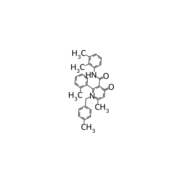 Cc1ccc(Cn2c(C)cc(=O)c(C(=O)Nc3cccc(C)c3C)c2-c2ccccc2C)cc1